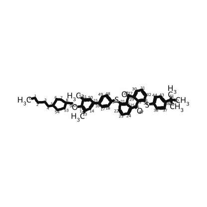 CCCCCC1CCC(COc2c(C)cc(-c3ccc(Sc4cccc5c4C(=O)c4cccc(Sc6ccc(C(C)(C)C)cc6)c4C5=O)cc3)cc2C)CC1